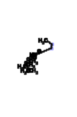 CCCCC/C=C\C/C=C\CCCCCCCCC(=O)CCCNC(=O)O[C@H]1CC[C@@]2(C)C(=CCC3C4CCC([C@H](C)CCCC(C)C)[C@@]4(C)CCC32)C1